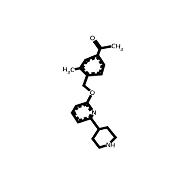 CC(=O)c1ccc(COc2cccc(C3CCNCC3)n2)c(C)c1